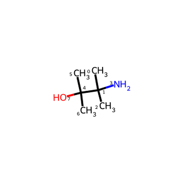 CC(C)(N)C(C)(C)O